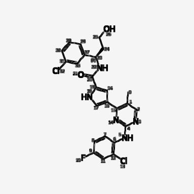 Cc1cnc(Nc2ccc(F)cc2Cl)nc1-c1c[nH]c(C(=O)N[C@H](CCO)c2cccc(Cl)c2)c1